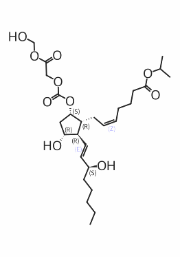 CCCCC[C@H](O)/C=C/[C@@H]1[C@@H](C/C=C\CCCC(=O)OC(C)C)[C@@H](OC(=O)OCC(=O)OCO)C[C@H]1O